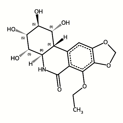 CCOc1c2c(cc3c1C(=O)N[C@H]1[C@H](O)[C@H](O)[C@@H](O)[C@H](O)[C@H]31)OCO2